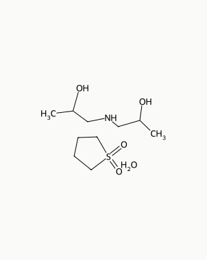 CC(O)CNCC(C)O.O.O=S1(=O)CCCC1